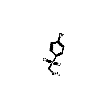 BCS(=O)(=O)c1ccc(Br)cc1